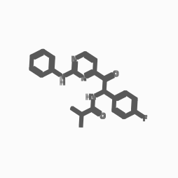 CC(C)C(=O)NC(C(=O)c1ccnc(Nc2ccccc2)n1)c1ccc(F)cc1